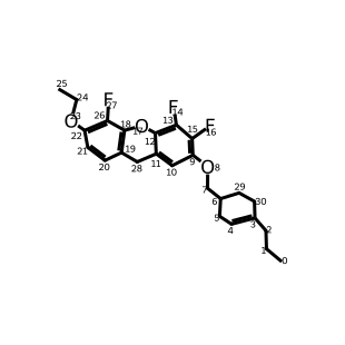 CCCC1=CCC(COc2cc3c(c(F)c2F)Oc2c(ccc(OCC)c2F)C3)CC1